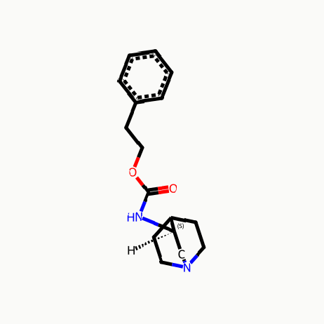 O=C(N[C@@H]1CN2CCC1CC2)OCCc1ccccc1